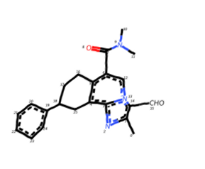 Cc1nc2c3c(c(C(=O)N(C)C)cn2c1C=O)CCC(c1ccccc1)C3